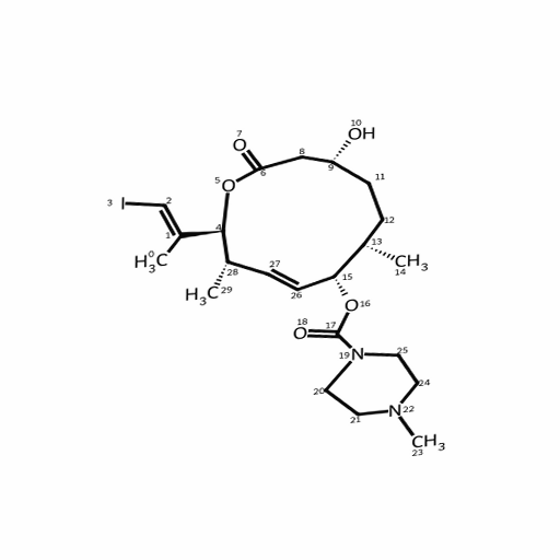 C/C(=C\I)[C@H]1OC(=O)C[C@H](O)CC[C@H](C)[C@H](OC(=O)N2CCN(C)CC2)/C=C/[C@@H]1C